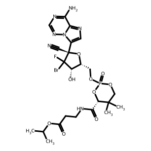 CC(C)OC(=O)CCNC(=O)[C@@H]1OP(=O)(OC[C@H]2O[C@@](C#N)(c3cnc4c(N)ncnn34)C(F)(Br)[C@H]2O)OCC1(C)C